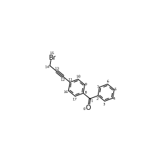 O=C(c1ccccc1)c1ccc(C#CCBr)cc1